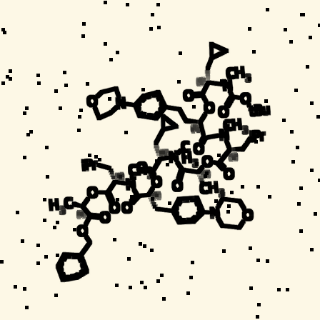 CC(C)C[C@@H](C(=O)O[C@H](C)C(=O)N(C)[C@@H](CC1CC1)C(=O)O[C@H](Cc1ccc(N2CCOCC2)cc1)C(=O)N(C)[C@@H](CC(C)C)C(=O)O[C@H](C)C(=O)OCc1ccccc1)N(C)C(=O)[C@@H](CCc1ccc(N2CCOCC2)cc1)OC(=O)[C@H](CC1CC1)N(C)C(=O)OC(C)(C)C